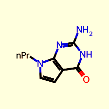 CCCn1ccc2c(=O)[nH]c(N)nc21